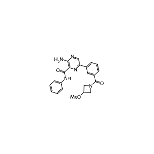 COC1CN(C(=O)c2cccc(-c3cnc(N)c(C(=O)Nc4ccccc4)n3)c2)C1